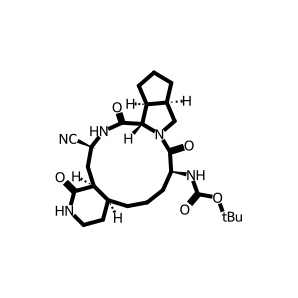 CC(C)(C)OC(=O)N[C@H]1CCC[C@H]2CCNC(=O)[C@H]2C[C@@H](C#N)NC(=O)[C@@H]2[C@H]3CCC[C@H]3CN2C1=O